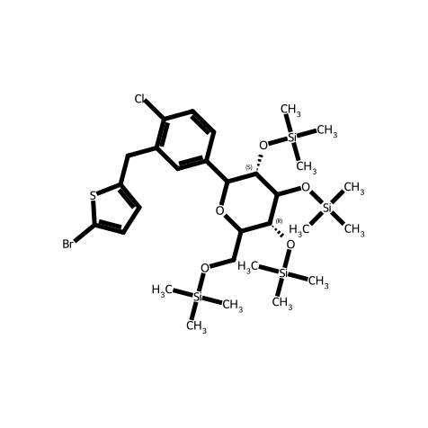 C[Si](C)(C)OCC1OC(c2ccc(Cl)c(Cc3ccc(Br)s3)c2)[C@H](O[Si](C)(C)C)C(O[Si](C)(C)C)[C@@H]1O[Si](C)(C)C